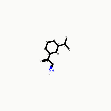 C=C(C=N)C1CCCC(C(C)C)C1